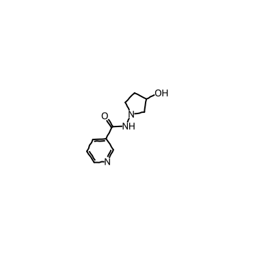 O=C(NN1CCC(O)C1)c1cccnc1